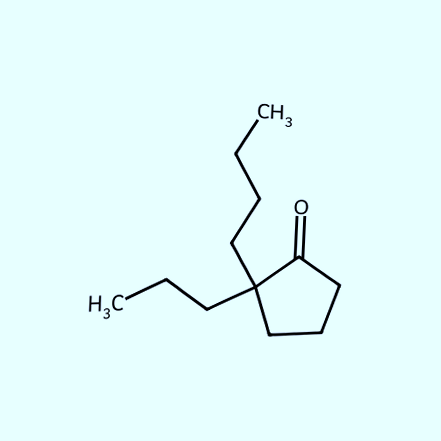 CCCCC1(CCC)CCCC1=O